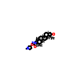 CC(=O)O[C@@]1(NC(=O)OC2CCN(C)C2)CC[C@]2(C)[C@H]3CC[C@@H]4C5=C(C(C)C)C(=O)C[C@]5(C)CC[C@@]4(C)[C@]3(C)CC[C@H]2C1(C)C